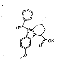 COc1ccc2c(c1)c1c(n2C(=O)c2ccccc2)CCCC1C(=O)O